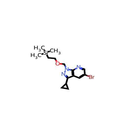 C[Si](C)(C)CCOCn1nc(C2CC2)c2cc(Br)cnc21